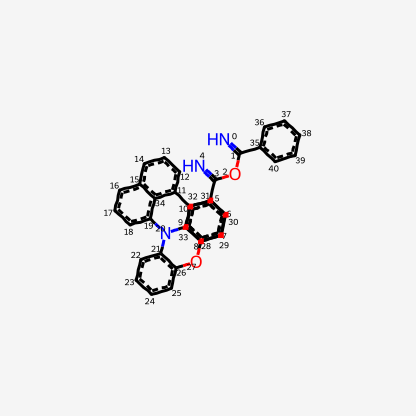 N=C(OC(=N)c1ccccc1-c1cccc2cccc(N3c4ccccc4Oc4ccccc43)c12)c1ccccc1